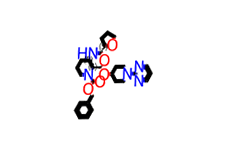 O=C(N[C@@H]1CCCN(C(=O)OCc2ccccc2)[C@@H]1COC1CCN(c2ncccn2)CC1)[C@@H]1CCCO1